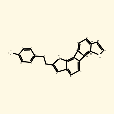 FC(F)(F)c1ccc(CCc2cc3ccc4c(c3s2)-c2ccc3ccsc3c2-4)cc1